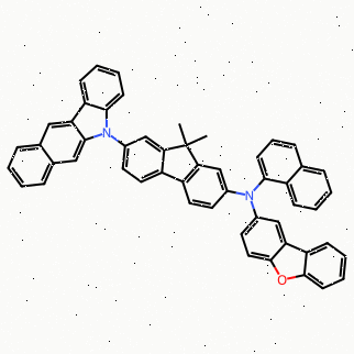 CC1(C)c2cc(N(c3ccc4oc5ccccc5c4c3)c3cccc4ccccc34)ccc2-c2ccc(-n3c4ccccc4c4cc5ccccc5cc43)cc21